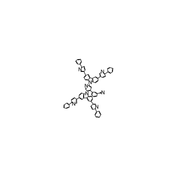 N#Cc1cccc(-c2cc(-n3c4ccc(-c5ccc(-c6ccccc6)nc5)cc4c4cc(-c5ccc(-c6ccccc6)nc5)ccc43)ncc2-n2c3ccc(-c4ccc(-c5ccccc5)nc4)cc3c3cc(-c4ccc(-c5ccccc5)nc4)ccc32)c1